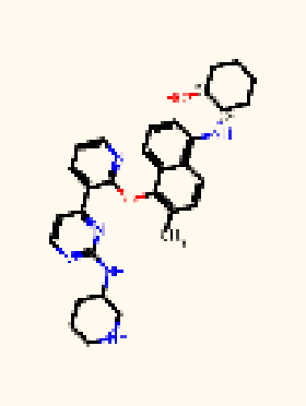 Cc1ccc2c(N[C@H]3CCCC[C@@H]3O)cccc2c1Oc1ncccc1-c1ccnc(NC2CCCNC2)n1